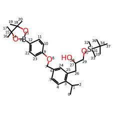 CC(C)c1ccc(COc2ccc(B3OC(C)(C)C(C)(C)O3)cc2)cc1CC(O)CO[Si](C)(C)C(C)(C)C